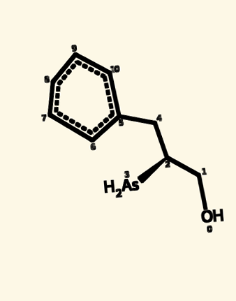 OC[C@@H]([AsH2])Cc1ccccc1